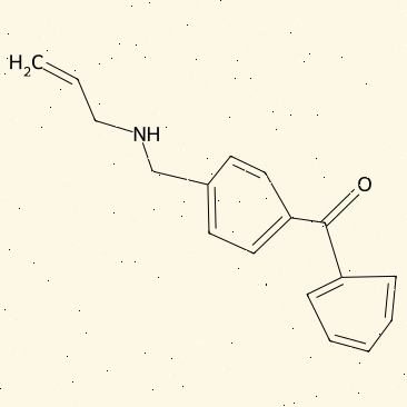 C=CCNCc1ccc(C(=O)c2ccccc2)cc1